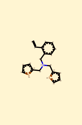 C=Cc1ccccc1CN(Cc1cccs1)Cc1cccs1